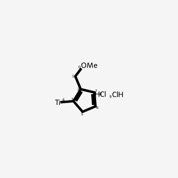 COCC1=[C]([Ti])CC=C1.Cl.Cl